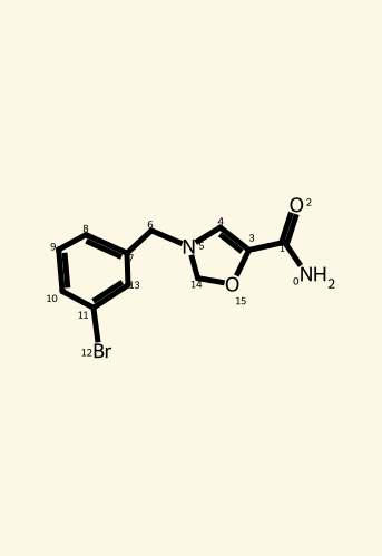 NC(=O)C1=CN(Cc2cccc(Br)c2)CO1